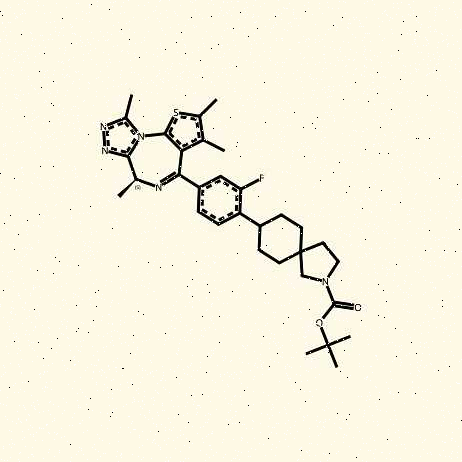 Cc1sc2c(c1C)C(c1ccc(C3CCC4(CC3)CCN(C(=O)OC(C)(C)C)C4)c(F)c1)=N[C@@H](C)c1nnc(C)n1-2